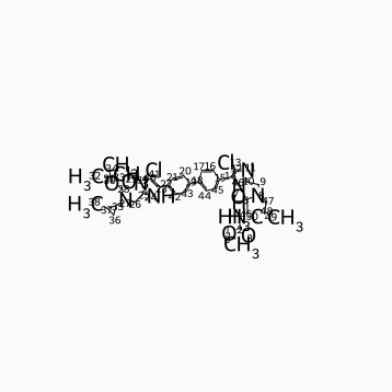 COC(=O)NCC(=O)N(Cc1nc(Cl)c(-c2ccc(-c3ccc(-c4[nH]c(CN(C(=O)OC(C)(C)C)C5CC5C)nc4Cl)cc3)cc2)[nH]1)CC(C)C